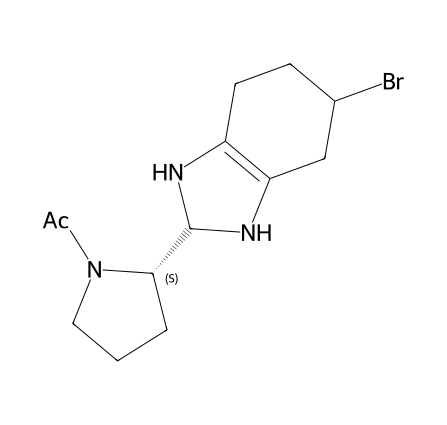 CC(=O)N1CCC[C@H]1C1NC2=C(CC(Br)CC2)N1